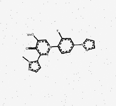 COc1cn(-c2ccc(-n3cccn3)cc2F)nc(-c2ccnn2C)c1=O